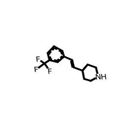 FC(F)(F)c1cccc(/C=C/C2CCNCC2)c1